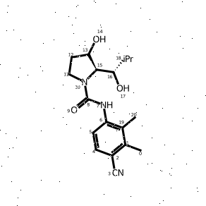 Cc1c(C#N)ccc(NC(=O)N2CCC(O)[C@H]2[C@@H](O)C(C)C)c1C